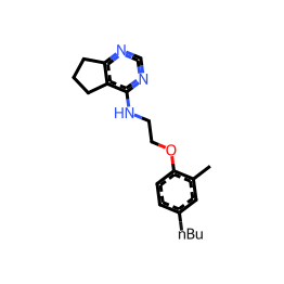 CCCCc1ccc(OCCNc2ncnc3c2CCC3)c(C)c1